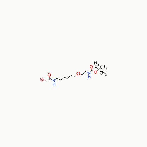 CC(C)(C)OC(=O)NCCOCCCCCCNC(=O)CBr